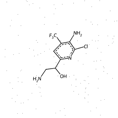 NCC(O)c1cc(C(F)(F)F)c(N)c(Cl)n1